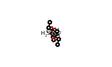 C[SiH2][Zr]([Cl])([Cl])([CH2][CH2][Zr]([Cl])([Cl])([SiH2]C)([CH]1C(C)=Cc2ccccc21)[CH]1C(C)=Cc2c(-c3ccccc3)cccc21)([CH]1C(C)=Cc2ccccc21)[CH]1C(C)=Cc2c(-c3ccccc3)cccc21